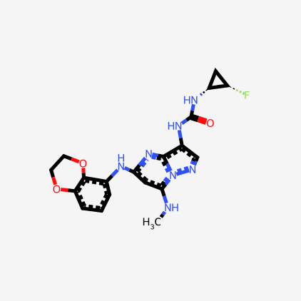 CNc1cc(Nc2cccc3c2OCCO3)nc2c(NC(=O)N[C@@H]3C[C@@H]3F)cnn12